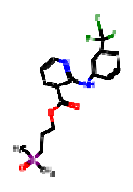 CP(C)(=O)CCCOC(=O)c1cccnc1Nc1cccc(C(F)(F)F)c1